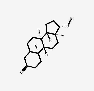 CCO[C@H]1CC[C@H]2[C@@H]3CCC4CC(=O)CC[C@]4(C)[C@H]3CC[C@]12C